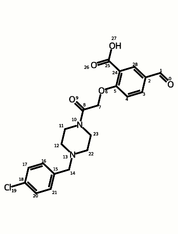 O=Cc1ccc(OCC(=O)N2CCN(Cc3ccc(Cl)cc3)CC2)c(C(=O)O)c1